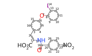 O=C(O)/C(=C/c1ccc(Oc2ccccc2I)cc1)NC(=O)c1ccc([N+](=O)[O-])cc1